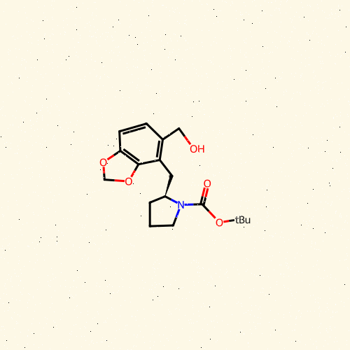 CC(C)(C)OC(=O)N1CCC[C@H]1Cc1c(CO)ccc2c1OCO2